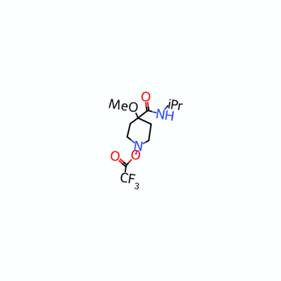 COC1(C(=O)NC(C)C)CCN(OC(=O)C(F)(F)F)CC1